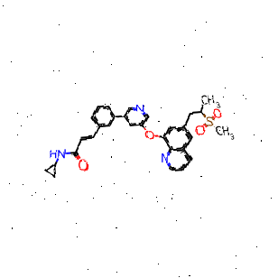 CC(Cc1cc(Oc2cncc(-c3cccc(C=CC(=O)NC4CC4)c3)c2)c2ncccc2c1)S(C)(=O)=O